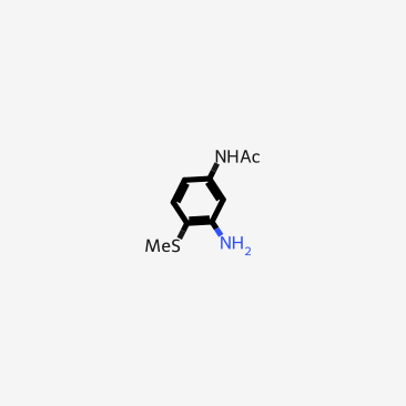 CSc1ccc(NC(C)=O)cc1N